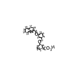 O=C(O)c1cncc(OCc2cccc(OCc3ccc4ccccc4n3)c2)c1